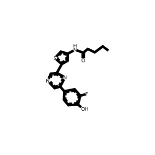 CCCCC(=O)Nc1csc(-c2cncc(-c3ccc(O)c(F)c3)n2)c1